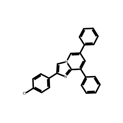 Clc1ccc(-c2cn3cc(-c4ccccc4)cc(-c4ccccc4)c3n2)cc1